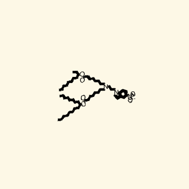 CCCCCCCCC(CC)OC(=O)CCCCCCCN(CCCCCCCC(=O)OC(CCCCCCCC)CCCCCCCC)CCCn1ccc2cc([N+](=O)[O-])ccc21